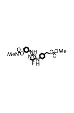 CNC(=O)Oc1cccc(Nc2ncc(F)c(Nc3ccc(CCOC(=O)OC)cc3)n2)c1